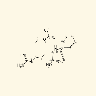 CCOC(=O)Cl.N=C(N)NCCCC(NC(=O)c1ccccc1)C(=O)O